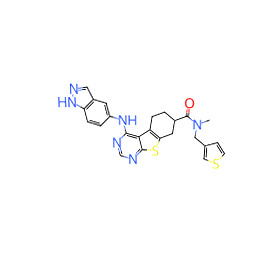 CN(Cc1ccsc1)C(=O)C1CCc2c(sc3ncnc(Nc4ccc5[nH]ncc5c4)c23)C1